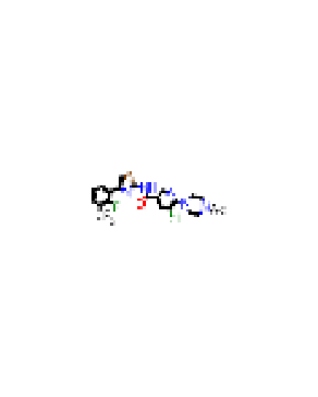 CC(=O)N1CCN(c2ncc(C(=O)Nc3nc(-c4cccc(C(F)(F)F)c4F)cs3)cc2Cl)CC1